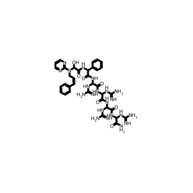 N=C(N)NC(NC(=O)C(NC(=N)N)NC(=O)C(NC(=N)N)NC(=O)C(NC(=N)N)NC(=O)C(NC(=O)C(O)N(C/C=C\c1ccccc1)c1ncccn1)c1ccccc1)C(N)=O